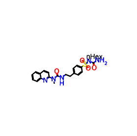 CCCCCCN(C(N)=O)S(=O)(=O)c1ccc(CCNC(=O)N(C)c2ccc3ccccc3n2)cc1